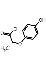 C[C@@H](Oc1ccc(O)cc1)C(=O)Cl